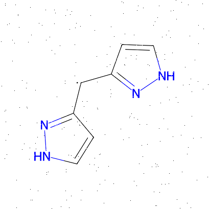 [CH](c1cc[nH]n1)c1cc[nH]n1